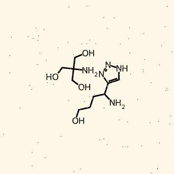 NC(CCCO)c1c[nH]nn1.NC(CO)(CO)CO